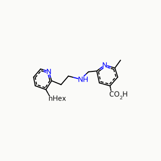 CCCCCCc1cccnc1CCNCc1cc(C(=O)O)cc(C)n1